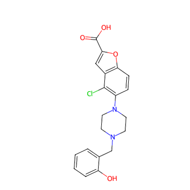 O=C(O)c1cc2c(Cl)c(N3CCN(Cc4ccccc4O)CC3)ccc2o1